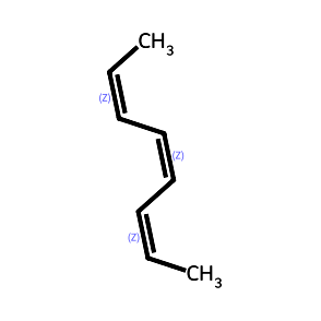 C\C=C/C=C\C=C/C